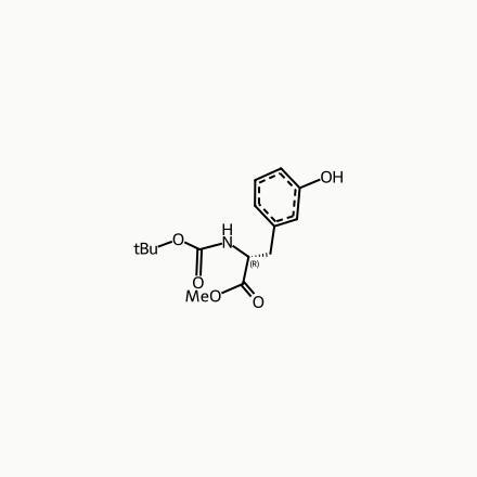 COC(=O)[C@@H](Cc1cccc(O)c1)NC(=O)OC(C)(C)C